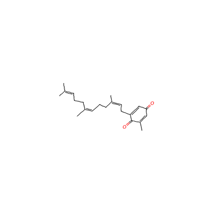 CC(C)=CCCC(C)=CCCC(C)=CCC1=CC(=O)C=C(C)C1=O